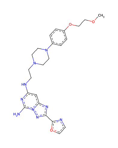 COCCOc1ccc(N2CCN(CCNc3cc4nc(-c5ncco5)nn4c(N)n3)CC2)cc1